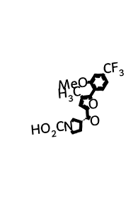 COc1cc(C(F)(F)F)ccc1-c1oc(C(=O)[C@@H]2CCN(C(=O)O)C2)cc1C